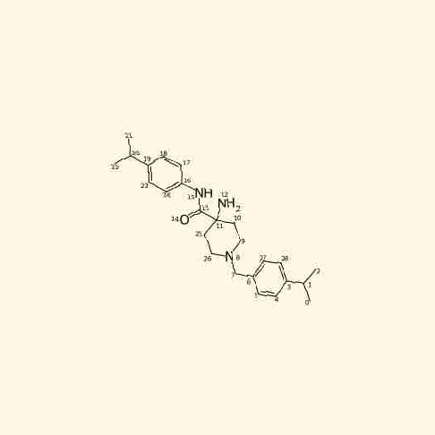 CC(C)c1ccc(CN2CCC(N)(C(=O)Nc3ccc(C(C)C)cc3)CC2)cc1